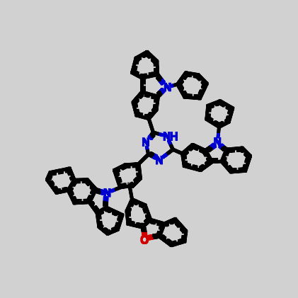 c1ccc(-n2c3ccccc3c3ccc(C4=NC(c5ccc(-n6c7ccccc7c7cc8ccccc8cc76)c(-c6ccc7oc8ccccc8c7c6)c5)=NC(c5ccc6c7ccccc7n(-c7ccccc7)c6c5)N4)cc32)cc1